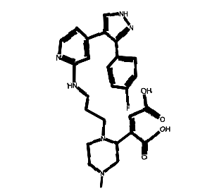 CN1CCN(CCCNc2cc(-c3c[nH]nc3-c3ccc(F)cc3)ccn2)C(/C(=C/C(=O)O)C(=O)O)C1